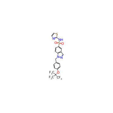 O=S(=O)(Nc1nccs1)c1ccc2c(cnn2Cc2ccc(OC(C(F)(F)F)(C(F)(F)F)C(F)(F)F)cc2)c1